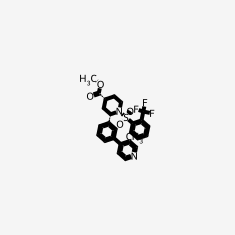 COC(=O)[C@@H]1CCN(S(=O)(=O)c2ccccc2C(F)(F)F)[C@H](c2cccc(-c3ccncc3C)c2)C1